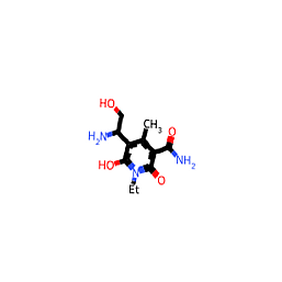 CCn1c(O)c(C(N)CO)c(C)c(C(N)=O)c1=O